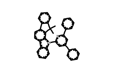 CC1(C)c2ccccc2-c2ccc3c4ccccc4n(-c4cc(-c5ccccc5)cc(-c5ccccc5)n4)c3c21